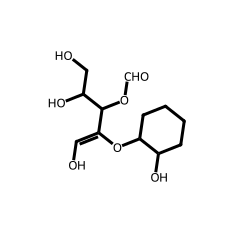 O=COC(/C(=C/O)OC1CCCCC1O)C(O)CO